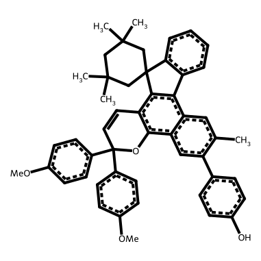 COc1ccc(C2(c3ccc(OC)cc3)C=Cc3c4c(c5cc(C)c(-c6ccc(O)cc6)cc5c3O2)-c2ccccc2C42CC(C)(C)CC(C)(C)C2)cc1